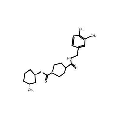 Cc1cc(CNC(=O)C2CCN(C(=O)O[C@@H]3CCC[C@@H](C)C3)CC2)ccc1O